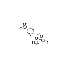 CC1(C)OC[C@@H](c2ccc([N+](=O)[O-])cn2)O1